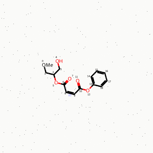 COCC(CO)OC(=O)/C=C\C(=O)Oc1ccccc1